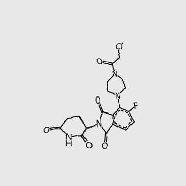 O=C1CCC(N2C(=O)c3ccc(F)c(N4CCN(C(=O)CCl)CC4)c3C2=O)C(=O)N1